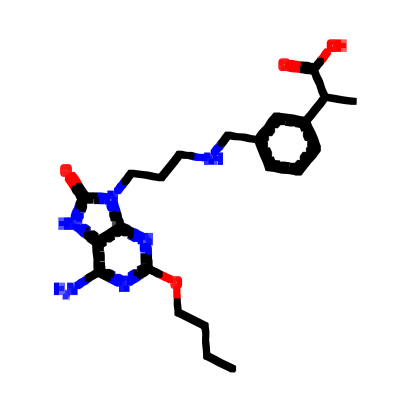 CCCCOc1nc(N)c2[nH]c(=O)n(CCCNCc3cccc(C(C)C(=O)O)c3)c2n1